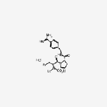 CCN(C(=O)O)C(CC(C)C)C(=O)N1CCC[C@H]1C(=O)NCc1ccc(C(=N)N)cc1.Cl